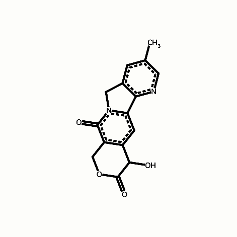 Cc1cnc2c(c1)Cn1c-2cc2c(c1=O)COC(=O)C2O